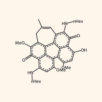 CCCCCCNc1c2c3c4c(c(OC)c(=O)c5c(NCCCCCC)cc(OC)c(c6c(OC)cc(O)c(c1=O)c63)c54)CC(C)=C2